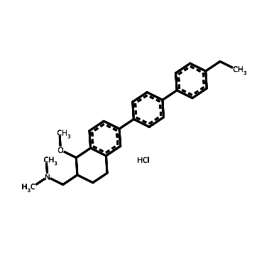 CCc1ccc(-c2ccc(-c3ccc4c(c3)CCC(CN(C)C)C4OC)cc2)cc1.Cl